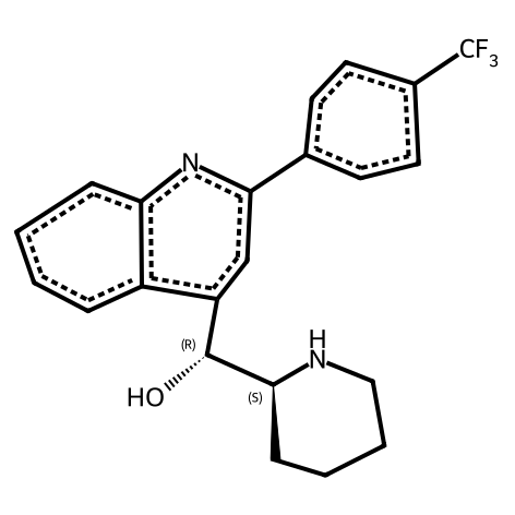 O[C@H](c1cc(-c2ccc(C(F)(F)F)cc2)nc2ccccc12)[C@@H]1CCCCN1